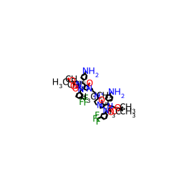 CC(C)(C)OC(=O)CN1C(=O)N(c2cccc(C(F)(F)F)c2)C2=C(C(=O)N(CCC[N+](C)(C)CCCN3CC4=C(C3=O)[C@@H](c3ccc(N)cc3)N(CC(=O)OC(C)(C)C)C(=O)N4c3cccc(C(F)(F)F)c3)C2)[C@H]1c1ccc(N)cc1